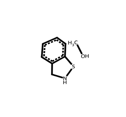 CO.c1ccc2c(c1)CNS2